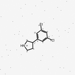 CCc1cc(Cl)cc(C2CCNC2)c1